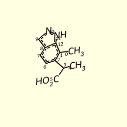 Cc1c(C(C)C(=O)O)ccc2cn[nH]c12